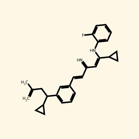 C=C(C)CC(c1cccc(/C=C/C(=N)/C=C(\Nc2ccccc2F)C2CC2)c1)C1CC1